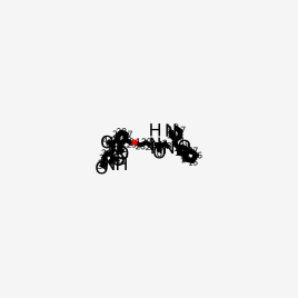 O=C(CNC(c1cccnc1)c1cc2ccccc2o1)NCCCCCc1cccc2c1C(=O)N(C1CCC(=O)NC1=O)C2=O